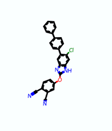 N#Cc1ccc(Oc2nc3cc(-c4ccc(-c5ccccc5)cc4)c(Cl)cc3[nH]2)cc1C#N